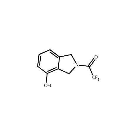 O=C(N1Cc2cccc(O)c2C1)C(F)(F)F